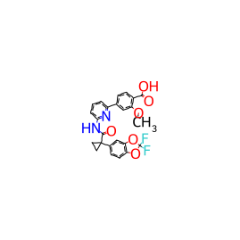 COc1cc(-c2cccc(NC(=O)C3(c4ccc5c(c4)OC(F)(F)O5)CC3)n2)ccc1C(=O)O